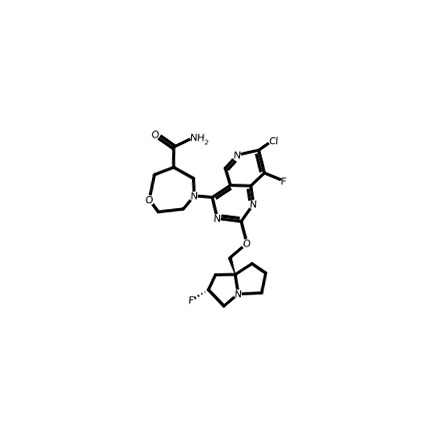 NC(=O)C1COCCN(c2nc(OC[C@@]34CCCN3C[C@H](F)C4)nc3c(F)c(Cl)ncc23)C1